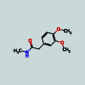 [CH2]NC(=O)Cc1ccc(OC)c(OC)c1